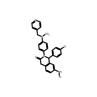 CCNc1ccc2c(c1)C(c1ccc(Cl)cc1)N(c1ccc(N(C)Cc3ccncc3)cc1)C(=O)C2